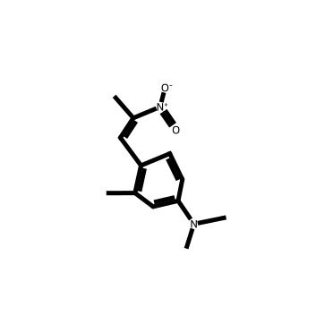 CC(=Cc1ccc(N(C)C)cc1C)[N+](=O)[O-]